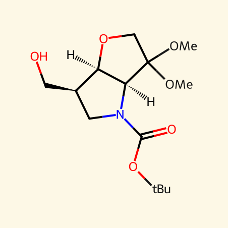 COC1(OC)CO[C@@H]2[C@H](CO)CN(C(=O)OC(C)(C)C)[C@@H]21